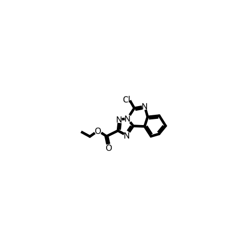 CCOC(=O)c1nc2c3ccccc3nc(Cl)n2n1